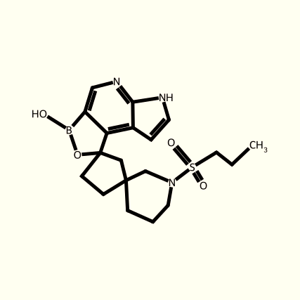 CCCS(=O)(=O)N1CCCC2(CCC3(C2)OB(O)c2cnc4[nH]ccc4c23)C1